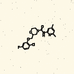 Cc1cc(C)nc(NC(=O)N2CCOC(COc3cc(F)ccc3Cl)C2)c1